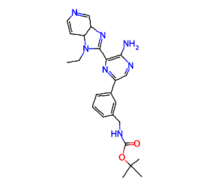 CCN1C(c2nc(-c3cccc(CNC(=O)OC(C)(C)C)c3)cnc2N)=NC2C=NC=CC21